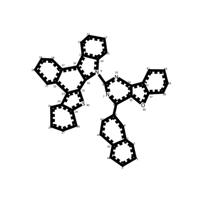 c1ccc2cc(-c3nc(-n4c5ccccc5c5c6ccccc6c6c7ccccc7sc6c54)nc4c3oc3ccccc34)ccc2c1